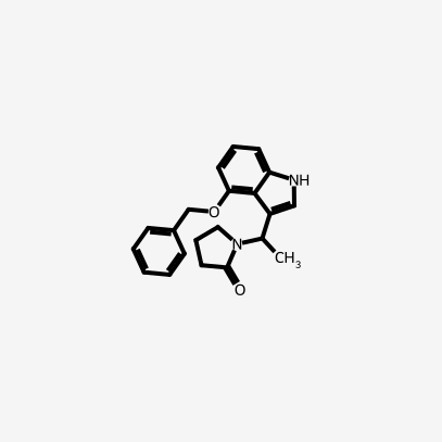 CC(c1c[nH]c2cccc(OCc3ccccc3)c12)N1CCCC1=O